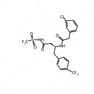 O=C(Cc1cccc(Cl)c1)N[C@H](CC(=O)NS(=O)(=O)C(F)(F)F)Cc1ccc(C(F)(F)F)cc1